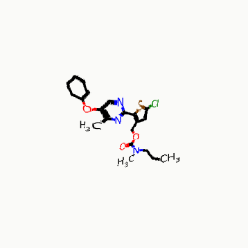 CCCN(C)C(=O)OCc1cc(Cl)sc1-c1ncc(OC2CCCCC2)c(C)n1